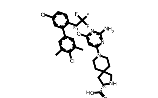 Cc1cc(-c2cc(Cl)ccc2[C@@H](Oc2cc(N3CCC4(CC3)CN[C@H](C(=O)O)C4)nc(N)n2)C(F)(F)F)cc(C)c1Cl